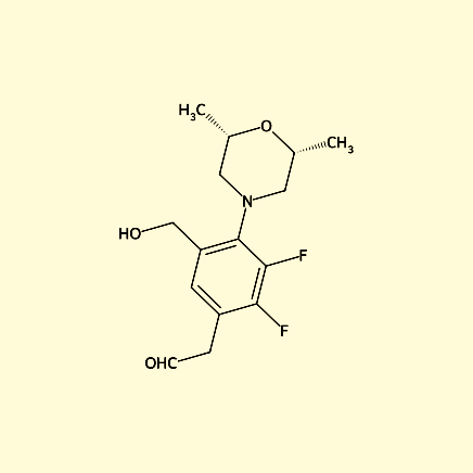 C[C@@H]1CN(c2c(CO)cc(CC=O)c(F)c2F)C[C@H](C)O1